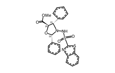 COC(=O)[C@@H]1O[C@@H](c2ccccc2)N(NS(=O)(=O)c2nc3ccccc3s2)[C@H]1c1ccccc1